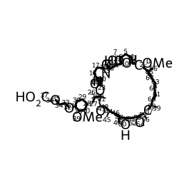 CO[C@H]1C[C@@H]2CC[C@@H](C)[C@@](O)(O2)C(=O)C(=O)N2CCCC[C@H]2C(=O)O[C@H]([C@@H](C)C[C@H]2CC[C@@H](OCCOCC(=O)O)[C@H](OC)C2)CC(=O)[C@H](C)/C=C(\C)[C@@H](O)[C@@H](C)C(=O)[C@H](C)C[C@H](C)/C=C/C=C/C=C/1C